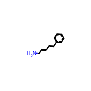 NCC=CC=Cc1ccccc1